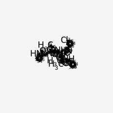 CCC[C@H](NC(=O)[C@@H]1C[C@]2(CC(c3cccc(Cl)c3)=NO2)CN1C(=O)[C@@H](NC(=O)CC1CCCCC1)C(C)(C)C)C(=O)C(=O)NCCC1C(=O)Nc2ccccc21